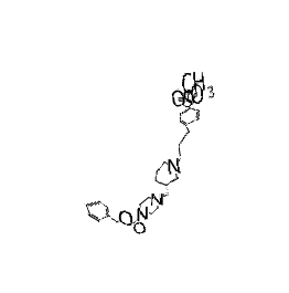 CS(=O)(=O)c1ccc(CCCN2CCC[C@@H](CN3CCN(C(=O)OCc4ccccc4)CC3)C2)cc1